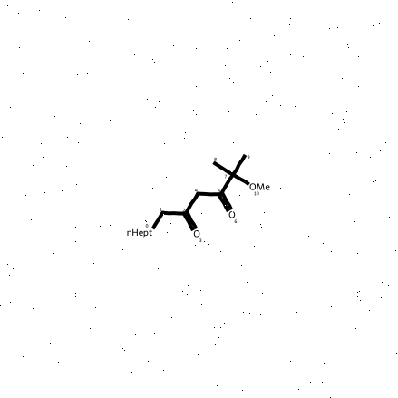 CCCCCCCCC(=O)CC(=O)C(C)(C)OC